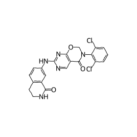 O=C1NCCc2ccc(Nc3ncc4c(n3)OCN(c3c(Cl)cccc3Cl)C4=O)cc21